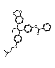 CCC(=C(c1ccc(OCCN(C)C)cc1)c1ccc(OC(=O)c2ccccc2)cc1)c1ccc2c(c1)OCO2